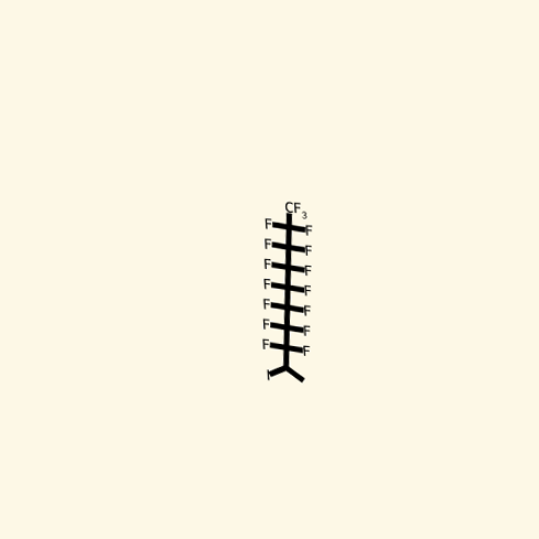 CC(I)C(F)(F)C(F)(F)C(F)(F)C(F)(F)C(F)(F)C(F)(F)C(F)(F)C(F)(F)F